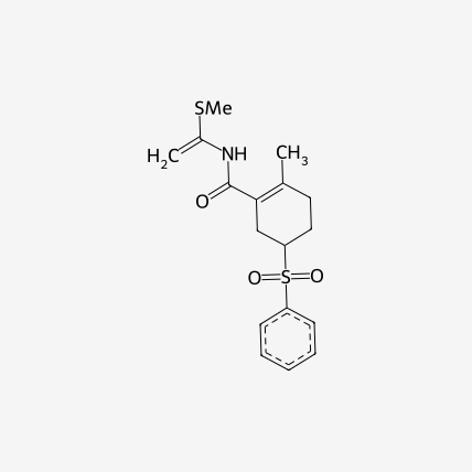 C=C(NC(=O)C1=C(C)CCC(S(=O)(=O)c2ccccc2)C1)SC